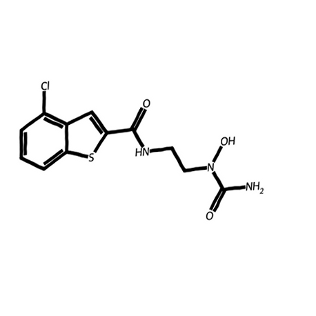 NC(=O)N(O)CCNC(=O)c1cc2c(Cl)cccc2s1